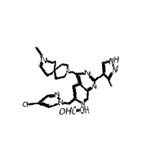 Cc1n[nH]cc1-c1nc(N2CCC3(CCN(C)C3)CC2)c2cc(Cn3cc(Cl)cn3)ncc2n1.O=CO